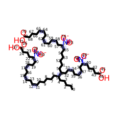 CCCCC/C(CCCCC/C=C\C/C=C\C/C=C\C/C=C(\CCCC(=O)O)[N+](=O)[O-])=C(\C/C=C\C/C=C\C/C(=C\CCCC(=O)O)[N+](=O)[O-])CCCCC/C=C(\C/C=C\C/C=C\C/C=C\CCCC(=O)O)[N+](=O)[O-]